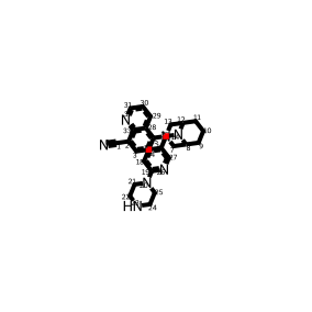 N#Cc1ccc(N2CC3CCCC(C2)N3Cc2ccc(N3CCNCC3)nc2)c2cccnc12